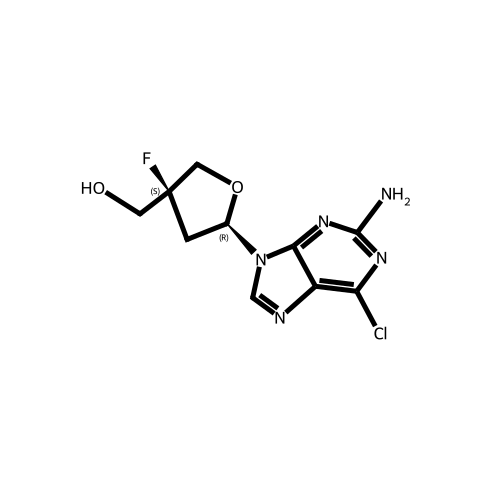 Nc1nc(Cl)c2ncn([C@H]3C[C@](F)(CO)CO3)c2n1